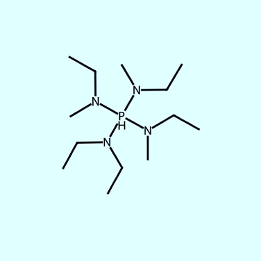 CCN(C)[PH](N(C)CC)(N(C)CC)N(CC)CC